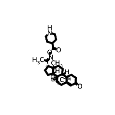 CC(=NOC(=O)C1CCNCC1)[C@H]1CC[C@H]2[C@@H]3CCC4=CC(=O)CC[C@]4(C)[C@H]3CC[C@]12C